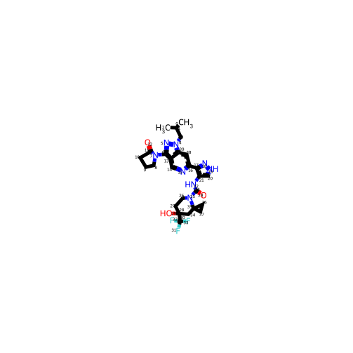 CC(C)Cn1nc(N2CCCC2=O)c2cnc(-c3n[nH]cc3NC(=O)N3CCC(O)(C(F)(F)F)CC34CC4)cc21